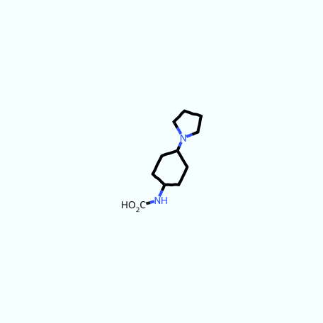 O=C(O)NC1CCC(N2CCCC2)CC1